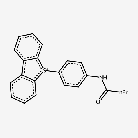 CCCC(=O)Nc1ccc(-[s+]2c3ccccc3c3ccccc32)cc1